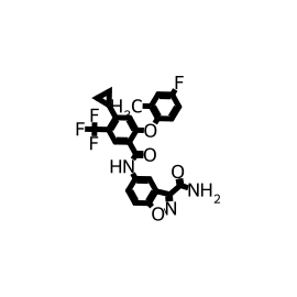 Cc1cc(F)ccc1Oc1cc(C2CC2)c(C(F)(F)F)cc1C(=O)Nc1ccc2onc(C(N)=O)c2c1